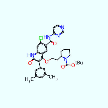 Cc1cc(C)cc(-c2c(OCCC3CCCCN3C(=O)OC(C)(C)C)c3cc(C(=O)Nc4ccncn4)c(Cl)cc3[nH]c2=O)c1